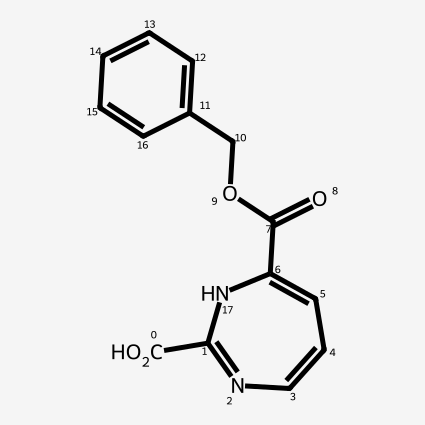 O=C(O)C1=NC=CC=C(C(=O)OCc2ccccc2)N1